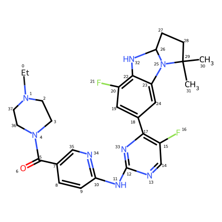 CCN1CCN(C(=O)c2ccc(Nc3ncc(F)c(-c4cc(F)c5c(c4)N4C(CCC4(C)C)N5)n3)nc2)CC1